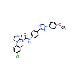 Cc1cc(Cl)ccc1N1CCN/C1=N\C(=O)Nc1ccc(-c2ncn(-c3ccc(OC(F)(F)F)cc3)n2)cc1